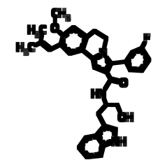 COc1cc2c(cc1C=C(C)C)-c1cc(C(=O)NC(CO)Cc3c[nH]c4ccccc34)c(-c3cccc(F)c3)n1CC2